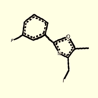 Cc1oc(-c2cccc(F)c2)nc1CI